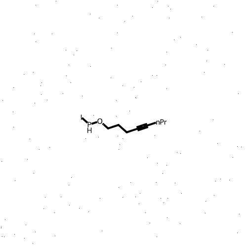 CCCC#CCCCOPI